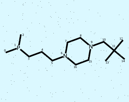 CP(C)CCCN1CCN(CC(C)(C)C)CC1